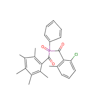 Cc1cccc(Cl)c1C(=O)P(=O)(C(=O)c1c(C)c(C)c(C)c(C)c1C)c1ccccc1